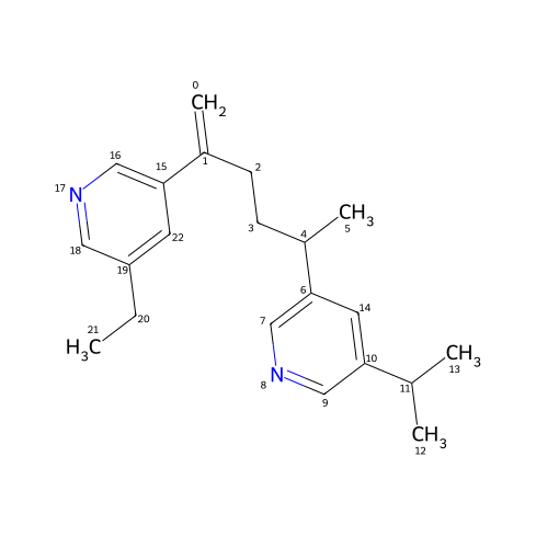 C=C(CCC(C)c1cncc(C(C)C)c1)c1cncc(CC)c1